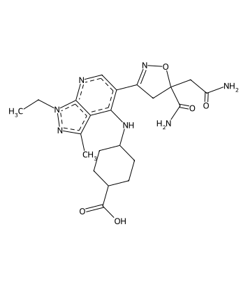 CCn1nc(C)c2c(NC3CCC(C(=O)O)CC3)c(C3=NOC(CC(N)=O)(C(N)=O)C3)cnc21